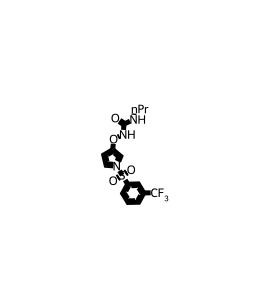 CCCNC(=O)NOc1ccn(S(=O)(=O)c2cccc(C(F)(F)F)c2)c1